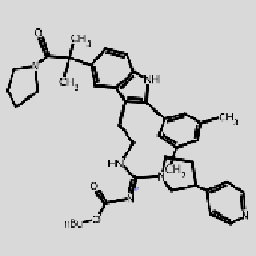 CCCCOC(=O)/N=C(\NCCc1c(-c2cc(C)cc(C)c2)[nH]c2ccc(C(C)(C)C(=O)N3CCCC3)cc12)N1CCC(c2ccncc2)C1